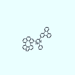 c1ccc(-c2nc(-c3ccc4c5ccccc5c5ccccc5c4c3)cc(-c3cc4ccc5cccc6c7cccc8ccc9cccc(c(c3)c4c56)c9c87)n2)cc1